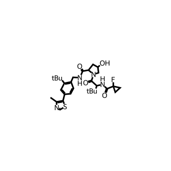 Cc1ncsc1-c1ccc(CNC(=O)C2CC(O)CN2C(=O)C(NC(=O)C2(F)CC2)C(C)(C)C)c(C(C)(C)C)c1